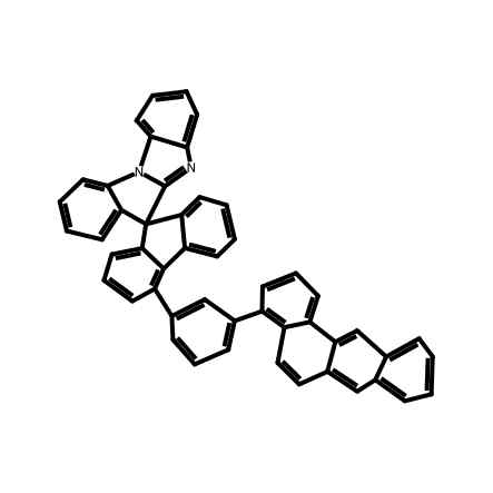 c1cc(-c2cccc3c2-c2ccccc2C32c3ccccc3-n3c2nc2ccccc23)cc(-c2cccc3c2ccc2cc4ccccc4cc23)c1